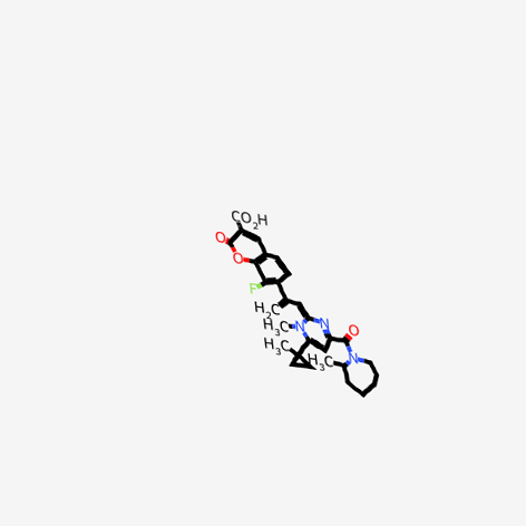 C=C(/C=C1/N=C(C(=O)N2CCCCCC2C)C=C(C2(C)CC2)N1C)c1ccc2cc(C(=O)O)c(=O)oc2c1F